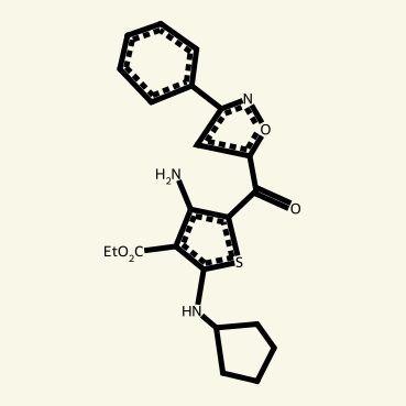 CCOC(=O)c1c(NC2CCCC2)sc(C(=O)c2cc(-c3ccccc3)no2)c1N